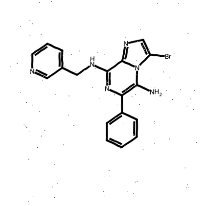 Nc1c(-c2ccccc2)nc(NCc2cccnc2)c2ncc(Br)n12